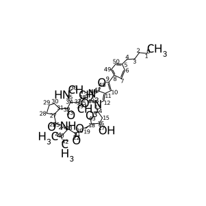 CCCCCc1ccc(-c2cc3cn([C@H]4CC(O)[C@@H](COC(=O)C(NC(=O)C5CCCC5C(=O)C(NC)C(C)C)C(C)C)O4)c(=O)nc3o2)cc1